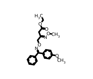 CCOC(=O)CC(CON=C(c1ccccc1)c1ccc(OC)cc1)=NOC